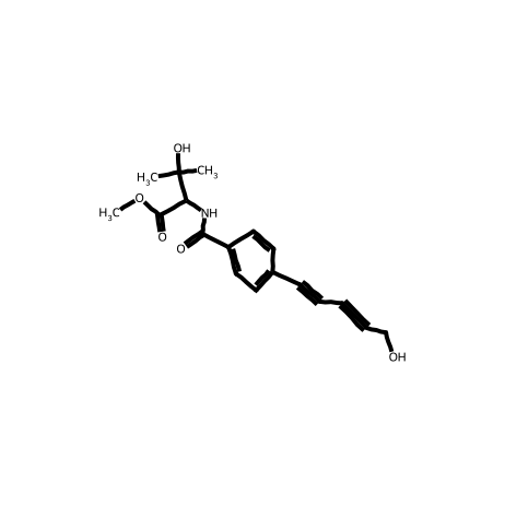 COC(=O)C(NC(=O)c1ccc(C#CC#CCO)cc1)C(C)(C)O